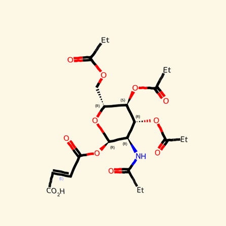 CCC(=O)N[C@H]1[C@@H](OC(=O)/C=C/C(=O)O)O[C@H](COC(=O)CC)[C@@H](OC(=O)CC)[C@@H]1OC(=O)CC